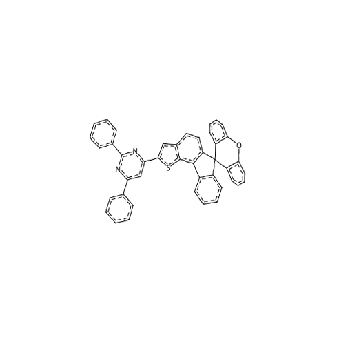 c1ccc(-c2cc(-c3cc4ccc5c(c4s3)-c3ccccc3C53c4ccccc4Oc4ccccc43)nc(-c3ccccc3)n2)cc1